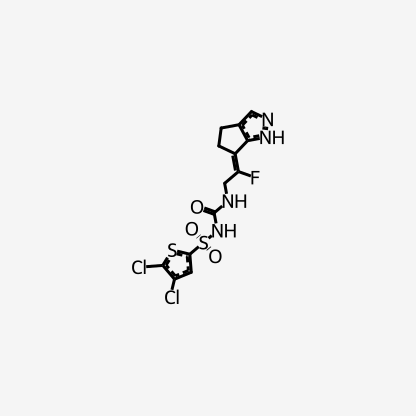 O=C(NC/C(F)=C1\CCc2cn[nH]c21)NS(=O)(=O)c1cc(Cl)c(Cl)s1